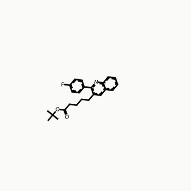 CC(C)(C)OC(=O)CCCCc1cc2ccccc2nc1-c1ccc(F)cc1